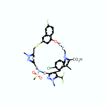 Cc1c(C(=O)O)n2c3ccc(Cl)c(c13)-c1c(nn(C)c1C(F)F)CN(S(C)(=O)=O)Cc1cc(n(C)n1)CSc1cc(c3ccc(F)cc3c1)OCCC2